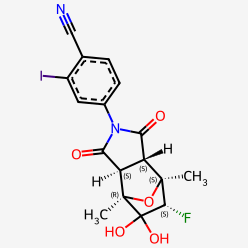 C[C@]12O[C@](C)([C@H]3C(=O)N(c4ccc(C#N)c(I)c4)C(=O)[C@@H]31)C(O)(O)[C@H]2F